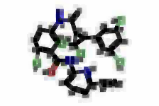 C=C(Nc1ccc(Cl)c(C(=O)Nc2cccc(NC(C)=O)n2)c1)C1C(c2cc(Cl)cc(Cl)c2)C1(Cl)Cl